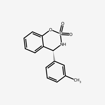 Cc1cccc([C@H]2NS(=O)(=O)Oc3ccccc32)c1